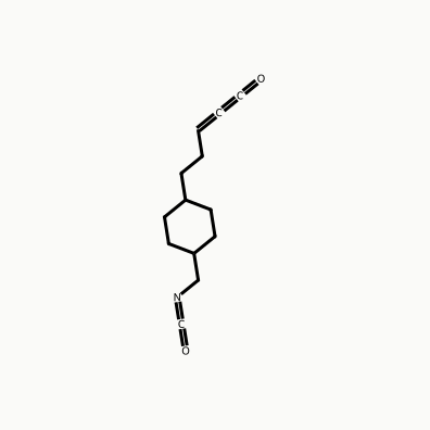 O=C=C=CCCC1CCC(CN=C=O)CC1